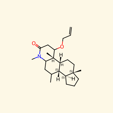 C=CCOC1CC(=O)N(C)C2CC(C)[C@@H]3[C@@H](CC[C@]4(C)CCC[C@@H]34)[C@@]12C